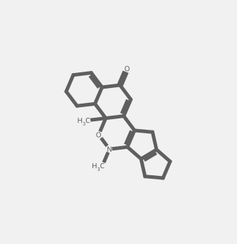 CN1OC2(C)C(=CC(=O)C3=CCCCC32)C2=C1C1=C(CCC1)C2